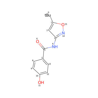 CC(C)(C)c1cc(NC(=O)c2ccc(O)cc2)no1